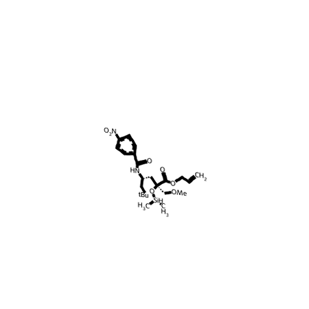 C=CCOC(=O)[C@](COC)(C[C@H](CC(C)(C)C)NC(=O)c1ccc([N+](=O)[O-])cc1)O[SiH](C)C